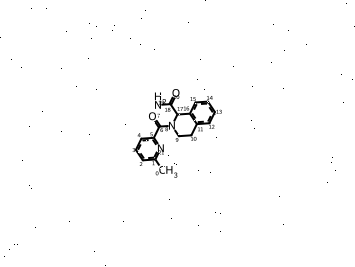 Cc1cccc(C(=O)N2CCc3c[c]ccc3C2C(N)=O)n1